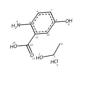 CCO.Cl.Nc1ccc(O)cc1C(=O)O